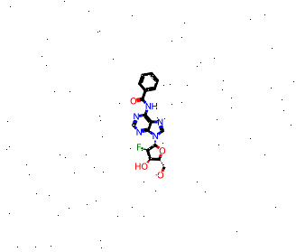 [O]C[C@H]1O[C@@H](n2cnc3c(NC(=O)c4ccccc4)ncnc32)[C@H](F)[C@@H]1O